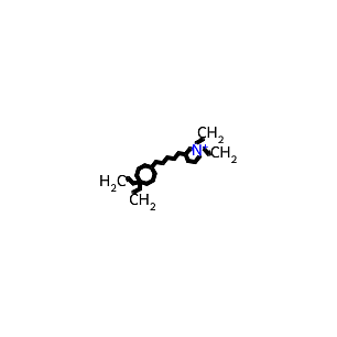 C=CCC1(CC=C)CCCC(CCCCCC2CCC[N+](CC=C)(CC=C)C2)CCC1